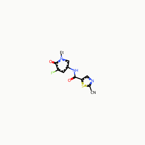 CCn1cc(NC(=O)c2cnc(C#N)s2)cc(F)c1=O